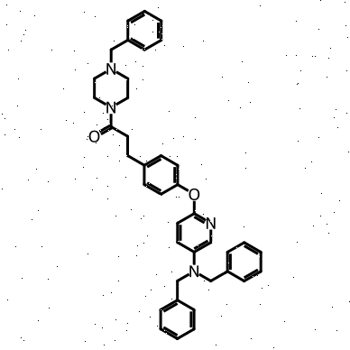 O=C(CCc1ccc(Oc2ccc(N(Cc3ccccc3)Cc3ccccc3)cn2)cc1)N1CCN(Cc2ccccc2)CC1